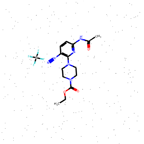 CCOC(=O)N1CCN(c2nc(NC(C)=O)ccc2[N+]#N)CC1.F[B-](F)(F)F